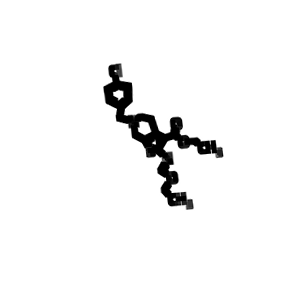 CCOC=Nc1sc2c(c1C(=O)OCC)CCN(Cc1ccc(Cl)cc1)C2